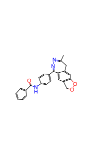 CC1=NN=C(c2ccc(NC(=O)c3ccccc3)cc2)c2cc3c(cc2C1)OOC3